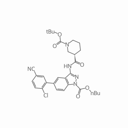 CCCCOC(=O)n1nc(NC(=O)[C@@H]2CCCN(C(=O)OC(C)(C)C)C2)c2cc(-c3cc(C#N)ccc3Cl)ccc21